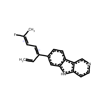 C=C/C(=C\C=C(/C)F)c1ccc2c(c1)[nH]c1ccncc12